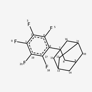 Fc1c(F)c(F)c(C23CC4CC(CC(C4)C2)C3)c(F)c1F